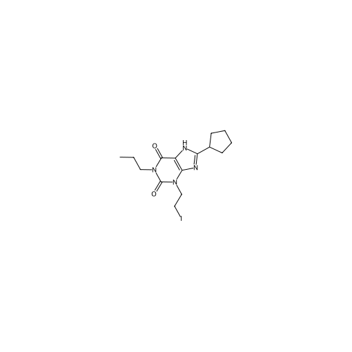 CCCn1c(=O)c2[nH]c(C3CCCC3)nc2n(CCI)c1=O